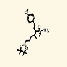 COc1ccc(CCC(C(C)CC=CB2OC(C)(C)C(C)(C)O2)S(N)(=O)=O)cc1